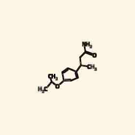 CC(C)Oc1ccc(C(C)CC(N)=O)cc1